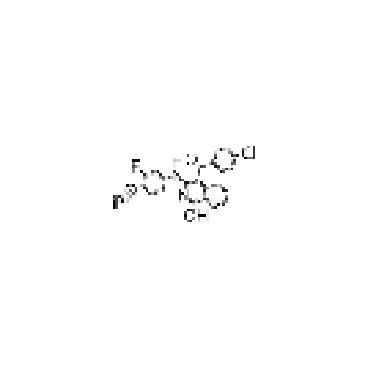 CC(C)Oc1ccc(Nc2nc(O)c3ccccc3c2C(=O)c2ccc(Cl)cc2)cc1F